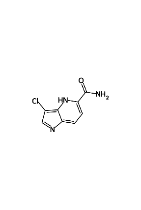 NC(=O)c1ccc2ncc(Cl)c-2[nH]1